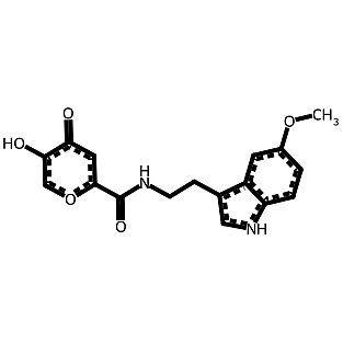 COc1ccc2[nH]cc(CCNC(=O)c3cc(=O)c(O)co3)c2c1